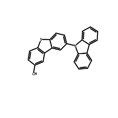 N#Cc1ccc2sc3ccc(-n4c5ccccc5c5ccccc54)cc3c2c1